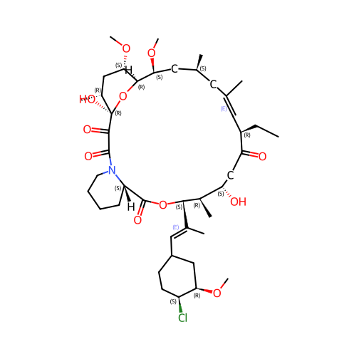 CC[C@@H]1/C=C(\C)C[C@H](C)C[C@H](OC)[C@H]2O[C@@](O)(C(=O)C(=O)N3CCCC[C@H]3C(=O)O[C@H](/C(C)=C/C3CC[C@H](Cl)[C@H](OC)C3)[C@H](C)[C@@H](O)CC1=O)[C@H](C)C[C@@H]2OC